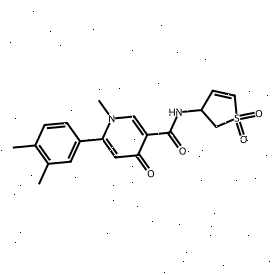 Cc1ccc(-c2cc(=O)c(C(=O)NC3C=CS(=O)(=O)C3)cn2C)cc1C